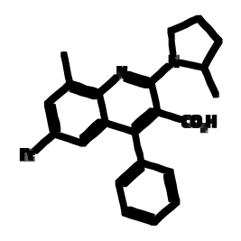 CCc1cc(C)c2nc(N3CCCC3C)c(C(=O)O)c(-c3ccccc3)c2c1